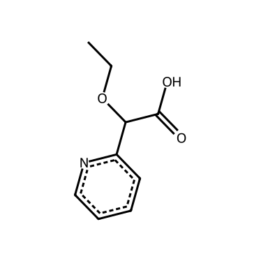 CCOC(C(=O)O)c1ccccn1